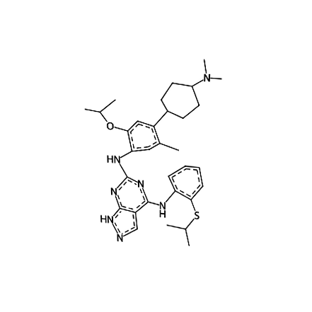 Cc1cc(Nc2nc(Nc3ccccc3SC(C)C)c3cn[nH]c3n2)c(OC(C)C)cc1C1CCC(N(C)C)CC1